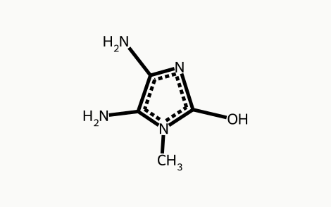 Cn1c(O)nc(N)c1N